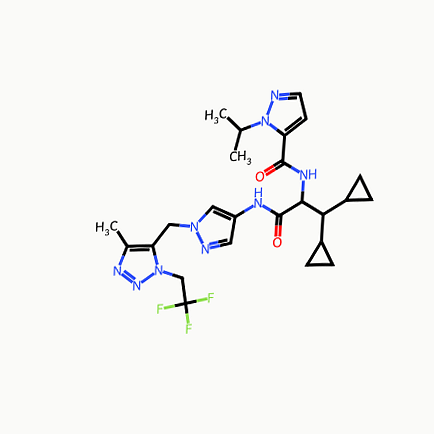 Cc1nnn(CC(F)(F)F)c1Cn1cc(NC(=O)C(NC(=O)c2ccnn2C(C)C)C(C2CC2)C2CC2)cn1